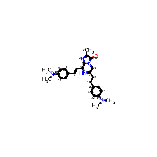 Cc1nc2c(/C=C/c3ccc(N(C)C)cc3)[nH]c(CCc3ccc(N(C)C)cc3)cn-2c1=O